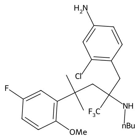 CCCCNC(Cc1ccc(N)cc1Cl)(CC(C)(C)c1cc(F)ccc1OC)C(F)(F)F